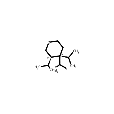 CC(C)[C@H]1COCC[C@]1(C(C)C)C(F)P